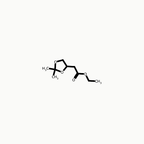 CCOC(=O)CC1COC(C)(C)O1